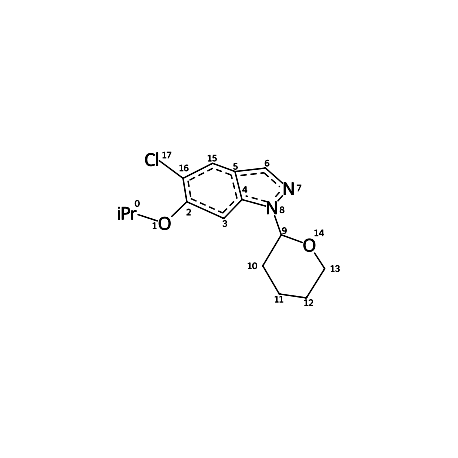 CC(C)Oc1cc2c(cnn2C2CCCCO2)cc1Cl